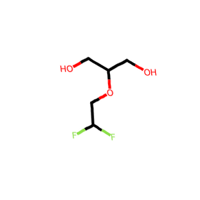 OCC(CO)OCC(F)F